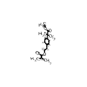 COC(=O)C(C)(C)c1ccc(CCOC(=O)C(C)C)cc1